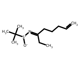 C=CCCC/C(CC)=N/[S+]([O-])C(C)(C)C